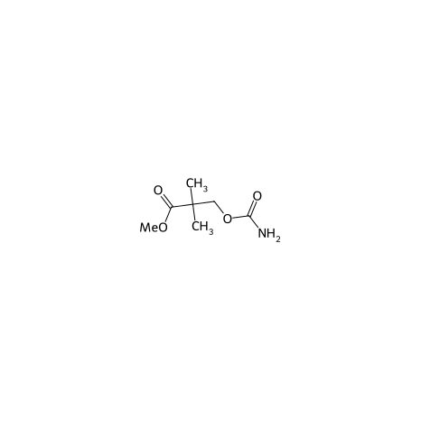 COC(=O)C(C)(C)COC(N)=O